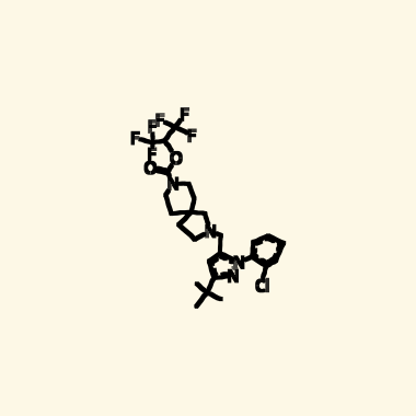 CC(C)(C)c1cc(CN2CCC3(CCN(C(=O)OC(C(F)(F)F)C(F)(F)F)CC3)C2)n(-c2ccccc2Cl)n1